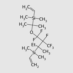 C=C[Si](C)(C)C(C)(C)OC(F)(F)C(F)(C(F)(F)F)C(C)(CC)[Si](C)(C)C=C